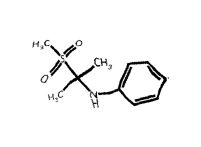 CC(C)(Nc1cc[c]cc1)S(C)(=O)=O